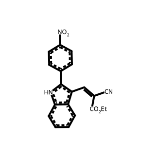 CCOC(=O)/C(C#N)=C\c1c(-c2ccc([N+](=O)[O-])cc2)[nH]c2ccccc12